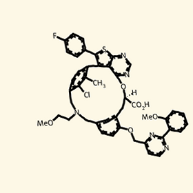 COCCN1Cc2ccc(OCc3ccnc(-c4ccccc4OC)n3)c(c2)C[C@H](C(=O)O)Oc2ncnc3sc(-c4ccc(F)cc4)c(c23)-c2ccc(c(Cl)c2C)C1